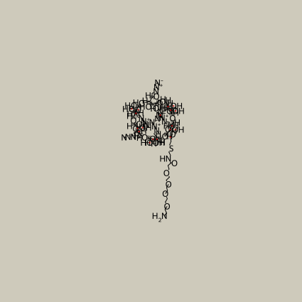 [N-]=[N+]=NC[C@H]1O[C@@H]2O[C@H]3[C@H](O)[C@@H](O)[C@@H](O[C@H]4[C@H](O)[C@@H](O)[C@@H](O[C@H]5[C@H](O)[C@@H](OCCCSCCNC(=O)CCOCCOCCOCCOCCN)[C@@H](O[C@H]6[C@H](O)[C@@H](O)[C@@H](O[C@H]7[C@H](O)[C@@H](O)[C@@H](O[C@H]1[C@H](O)[C@H]2O)O[C@@H]7CN=[N+]=[N-])O[C@@H]6CN=[N+]=[N-])O[C@@H]5CN=[N+]=[N-])O[C@@H]4CN=[N+]=[N-])O[C@@H]3CN=[N+]=[N-]